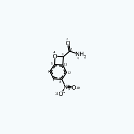 NC(=O)C1Oc2ccc([N+](=O)[O-])cc21